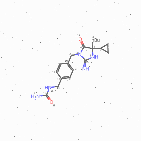 CCCCC1(C2CC2)NC(=N)N(Cc2ccc(CNC(N)=O)cc2)C1=O